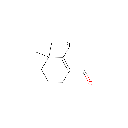 [2H]C1=C(C=O)CCCC1(C)C